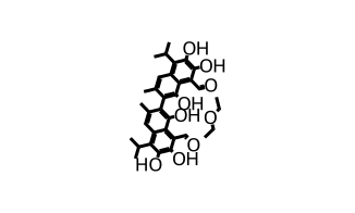 CCOCC.Cc1cc2c(C(C)C)c(O)c(O)c(C=O)c2c(O)c1-c1c(C)cc2c(C(C)C)c(O)c(O)c(C=O)c2c1O